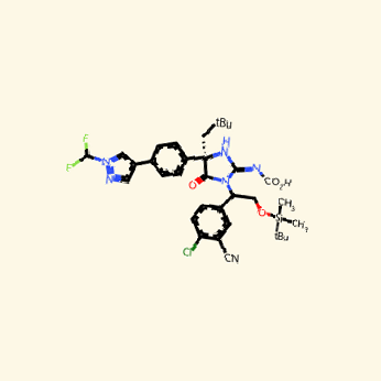 CC(C)(C)C[C@]1(c2ccc(-c3cnn(C(F)F)c3)cc2)NC(=NC(=O)O)N(C(CO[Si](C)(C)C(C)(C)C)c2ccc(Cl)c(C#N)c2)C1=O